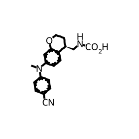 CN(c1ccc(C#N)cc1)c1ccc2c(c1)OCC[C@H]2CNC(=O)O